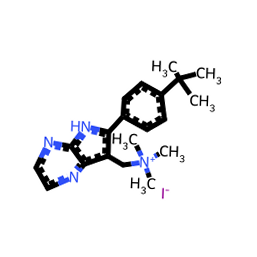 CC(C)(C)c1ccc(-c2[nH]c3nccnc3c2C[N+](C)(C)C)cc1.[I-]